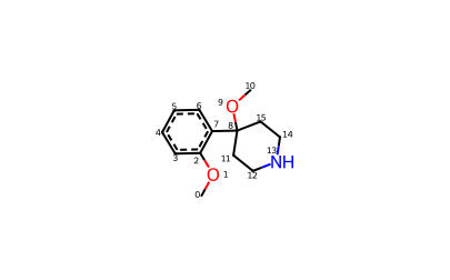 COc1ccccc1C1(OC)CCNCC1